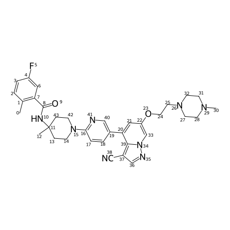 Cc1ccc(F)cc1C(=O)NC1(C)CCN(c2ccc(-c3cc(OCCN4CCN(C)CC4)cn4ncc(C#N)c34)cn2)CC1